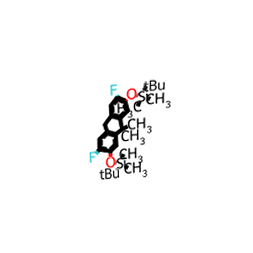 CC1(C)c2cc(O[Si](C)(C)C(C)(C)C)c(F)cc2Cc2cc(F)c(O[Si](C)(C)C(C)(C)C)cc21